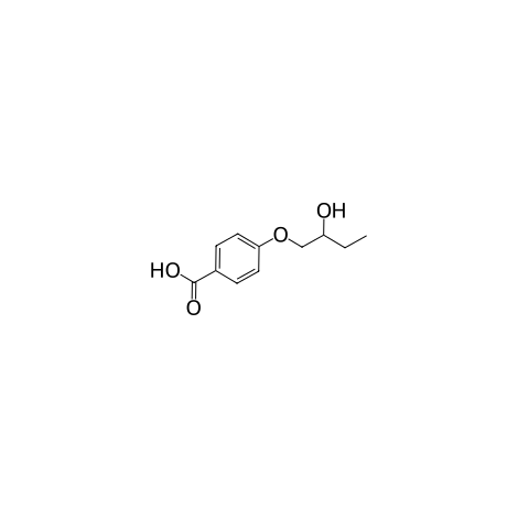 CCC(O)COc1ccc(C(=O)O)cc1